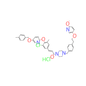 COc1ccc(OCCc2ccc(CN3CCN(C(=O)/C=C/c4cc(C)c(Oc5ccc(OCc6ccc(C)cc6)cn5)c(Cl)c4)CC3)cc2)cn1.Cl